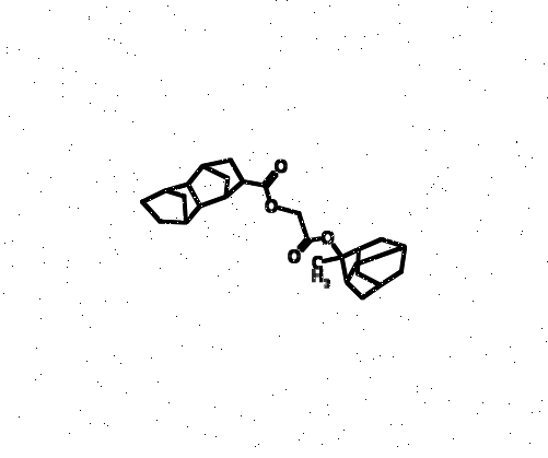 CC1(OC(=O)COC(=O)C2CC3CC2C2C4CCC(C4)C32)C2CC3CC(C2)CC1C3